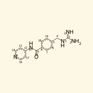 N=C(N)NCc1ccc(C(=O)Nc2ccncc2)cc1